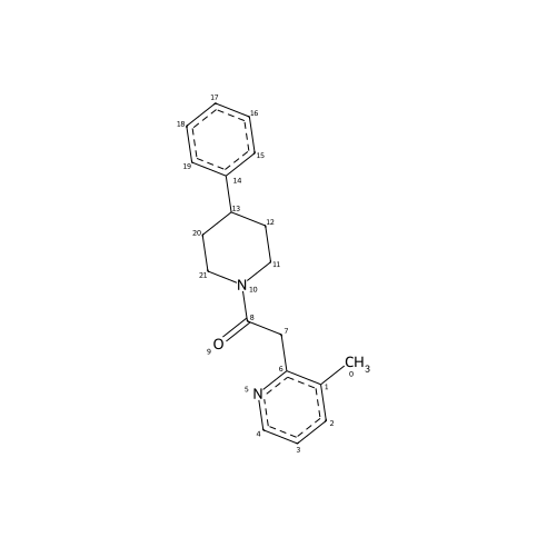 Cc1cccnc1CC(=O)N1CCC(c2ccccc2)CC1